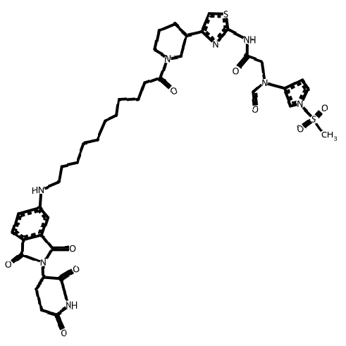 CS(=O)(=O)n1ccc(N(C=O)CC(=O)Nc2nc(C3CCCN(C(=O)CCCCCCCCCCNc4ccc5c(c4)C(=O)N(C4CCC(=O)NC4=O)C5=O)C3)cs2)c1